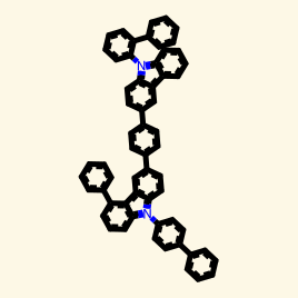 c1ccc(-c2ccc(-n3c4ccc(-c5ccc(-c6ccc7c(c6)c6ccccc6n7-c6ccccc6-c6ccccc6)cc5)cc4c4c(-c5ccccc5)cccc43)cc2)cc1